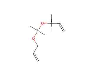 C=CCO[Si](C)(C)OC(C)(C)C=C